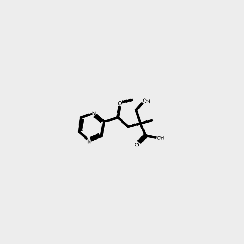 COC(CC(C)(CO)C(=O)O)c1cnccn1